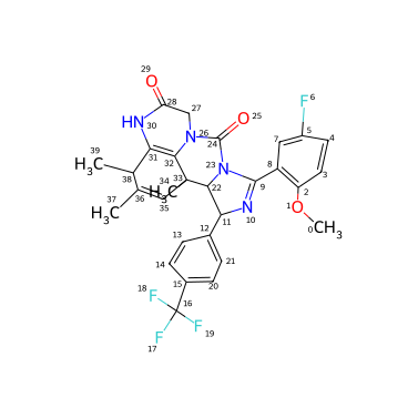 COc1ccc(F)cc1C1=NC(c2ccc(C(F)(F)F)cc2)C2N1C(=O)N1CC(=O)NC3=C1C2(C)C=C(C)C3C